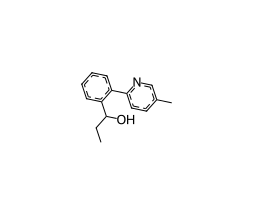 CCC(O)c1ccccc1-c1ccc(C)cn1